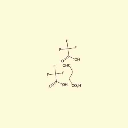 O=C(O)C(F)(F)F.O=C(O)C(F)(F)F.O=CCCC(=O)O